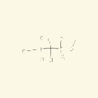 COS(=O)(=O)C(Cl)(Cl)C(Cl)(Cl)Cl